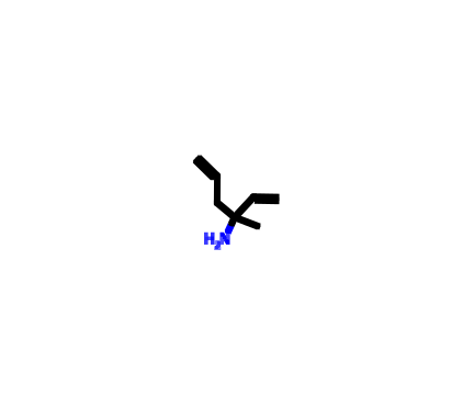 C=CCC(C)(N)C=C